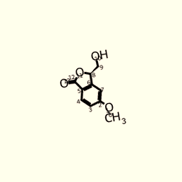 COc1ccc2c(c1)[C@H](CO)OC2=O